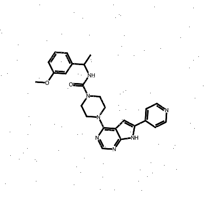 COc1cccc(C(C)NC(=O)N2CCN(c3ncnc4[nH]c(-c5ccncc5)cc34)CC2)c1